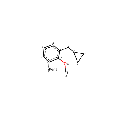 CCCC(C)c1cccc(CC2CC2)c1OCC